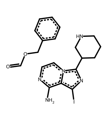 Nc1nccn2c(C3CCCNC3)nc(I)c12.O=COCc1ccccc1